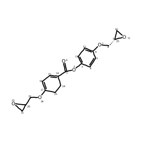 O=C(Oc1ccc(OC[C@@H]2CO2)cc1)C1=CC=C(OCC2CO2)CC1